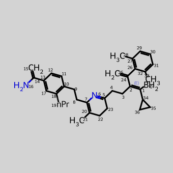 B/C(=C(/CCC1=NC(CCc2ccc(C(=C)N)cc2CCC)=C(C)CC1)C(=C)c1c(C)cccc1C)C1CC1